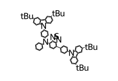 CC(C)(C)c1ccc2c(c1)c1cc(C(C)(C)C)ccc1n2-c1ccc(-c2ccc(N(c3ccccc3)c3ccc(-n4c5ccc(C(C)(C)C)cc5c5cc(C(C)(C)C)ccc54)cc3)c3nsnc23)cc1